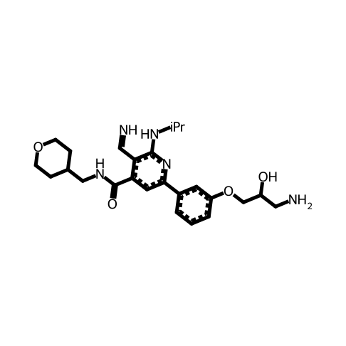 CC(C)Nc1nc(-c2cccc(OCC(O)CN)c2)cc(C(=O)NCC2CCOCC2)c1C=N